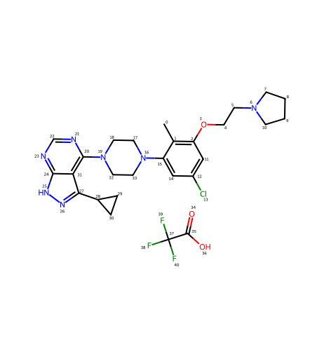 Cc1c(OCCN2CCCC2)cc(Cl)cc1N1CCN(c2ncnc3[nH]nc(C4CC4)c23)CC1.O=C(O)C(F)(F)F